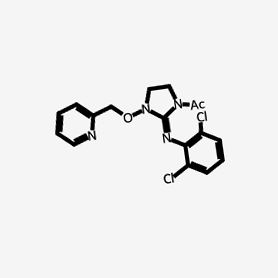 CC(=O)N1CCN(OCc2ccccn2)C1=Nc1c(Cl)cccc1Cl